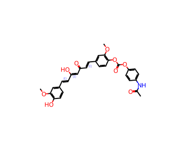 COc1cc(/C=C/C(O)=C/C(=O)/C=C/c2ccc(OC(=O)Oc3ccc(NC(C)=O)cc3)c(OC)c2)ccc1O